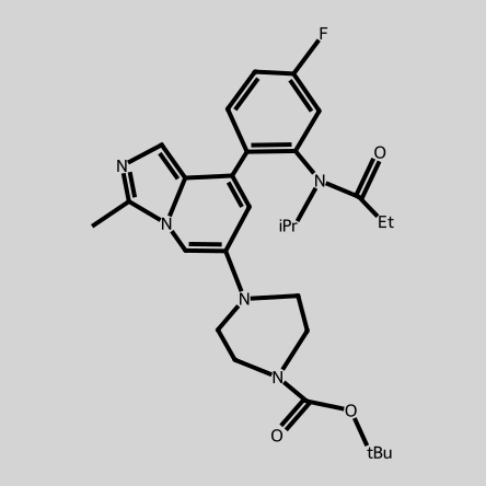 CCC(=O)N(c1cc(F)ccc1-c1cc(N2CCN(C(=O)OC(C)(C)C)CC2)cn2c(C)ncc12)C(C)C